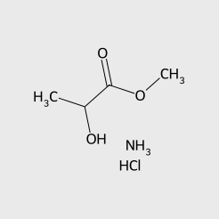 COC(=O)C(C)O.Cl.N